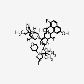 C#Cc1c(F)ccc2cc(O)cc(-c3ncc4c(N5C[C@H]6CC(C#N)[C@@H](C5)N6C(=O)C=C)nc(OC[C@]5(C(C)(C)C)C[C@@H](F)CN5C5CCOCC5)nc4c3F)c12